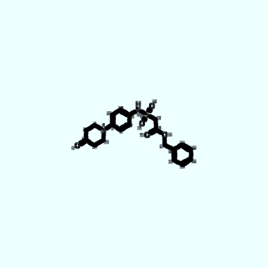 O=C1CCN(c2ccc(NS(=O)(=O)CC(=O)OCc3ccccc3)cc2)CC1